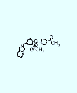 CC(=O)[C@H]1CC[C@H](COc2ccc(CN3Cc4ccccc4C3)cc2S(C)(=O)=O)CC1